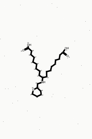 O=C(O)CCCCCCCCC(CCCCCCCCC(=O)O)NCC1CCCCO1